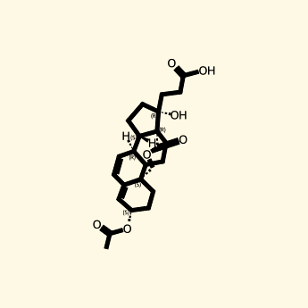 CC(=O)O[C@@H]1C=C2C=C[C@@H]3C4CC[C@@]5(C(=O)OC[C@]24CC1)[C@H]3CC[C@@]5(O)CCC(=O)O